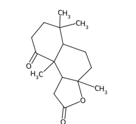 CC1(C)CCC(=O)C2(C)C1CCC1(C)OC(=O)CC12